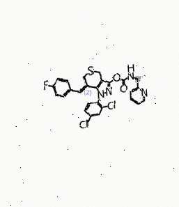 C[C@@H](NC(=O)Oc1nn(-c2ccc(Cl)cc2Cl)c2c1CSC/C2=C\c1ccc(F)cc1)c1ccccn1